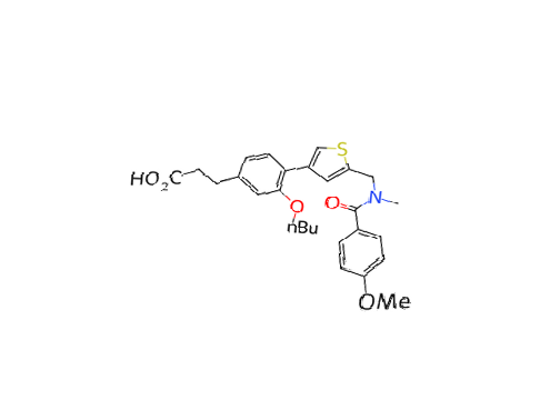 CCCCOc1cc(CCC(=O)O)ccc1-c1csc(CN(C)C(=O)c2ccc(OC)cc2)c1